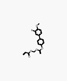 C=CC(=O)OCOC(=C)Oc1ccc(-c2ccc(OC)c(F)c2)cc1